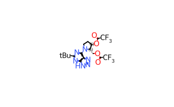 CC(C)(C)c1nc(N2CC[C@H](OC(=O)C(F)(F)F)[C@@H]2COC(=O)C(F)(F)F)c2nn[nH]c2n1